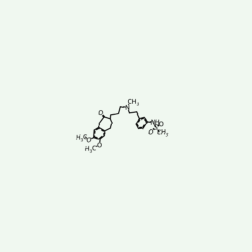 COc1cc2c(cc1OC)CC(=O)C(CCCN(C)CCc1cccc(NS(C)(=O)=O)c1)CC2